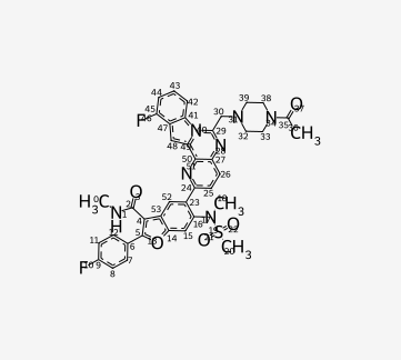 CNC(=O)c1c(-c2ccc(F)cc2)oc2cc(N(C)S(C)(=O)=O)c(-c3ccc4nc(CN5CCN(C(C)=O)CC5)n5c6cccc(F)c6cc5c4n3)cc12